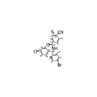 Cc1cc(Br)cnc1C(NC(=O)c1ccc(C#N)c(F)c1)c1ccc(Cl)cc1